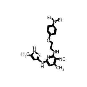 [C-]#[N+]c1c(C)cc(Nc2cc(C)[nH]n2)nc1NCCOc1ccc(N(CC)CC)cc1